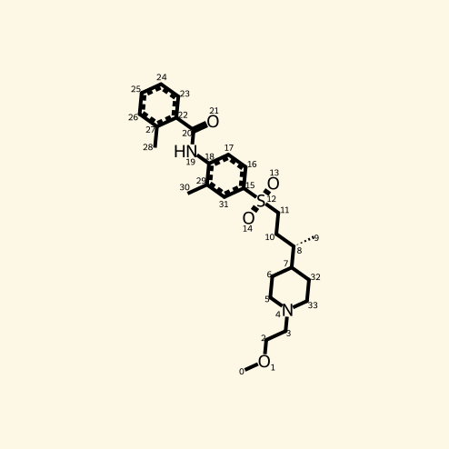 COCCN1CCC([C@@H](C)CCS(=O)(=O)c2ccc(NC(=O)c3ccccc3C)c(C)c2)CC1